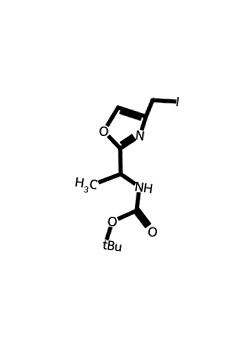 CC(NC(=O)OC(C)(C)C)c1nc(CI)co1